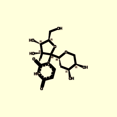 O=c1ccn([C@]2([C@H]3C[C@H](O)[C@H](O)CO3)O[C@H](CO)[C@@H](O)[C@]2(O)F)c(=O)[nH]1